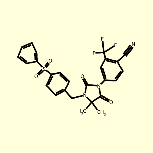 CC1(C)C(=O)N(c2ccc(C#N)c(C(F)(F)F)c2)C(=O)N1Cc1ccc(S(=O)(=O)c2ccccc2)cc1